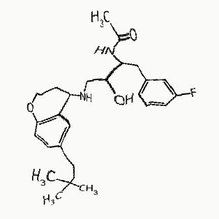 CC(=O)NC(Cc1cccc(F)c1)C(O)CNC1CCOc2ccc(CC(C)(C)C)cc21